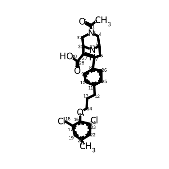 CC(=O)N1CC2CC(c3ccc(CCCOc4c(Cl)cc(C)cc4Cl)cc3)=C(C(=O)O)C(C1)N2